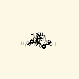 COc1ccc(F)c(-c2ncc(COc3cccc([C@H](O)CC(=O)O)c3)nc2OC2CC(C)(C)CC(C)(C)C2)c1